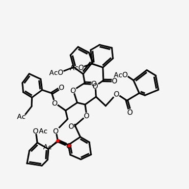 CC(=O)Cc1ccccc1C(=O)OC(COC(=O)c1ccccc1OC(C)=O)C(OC(=O)c1ccccc1OC(C)=O)C(OC(=O)c1ccccc1CC(C)=O)C(COC(=O)c1ccccc1OC(C)=O)OC(=O)c1ccccc1OC(C)=O